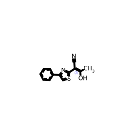 C/C(O)=C(\C#N)c1nc(-c2ccccc2)cs1